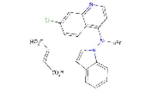 CCCN(c1ccnc2cc(Cl)ccc12)n1ccc2ccccc21.O=C(O)C=CC(=O)O